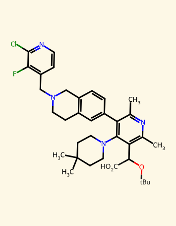 Cc1nc(C)c(C(OC(C)(C)C)C(=O)O)c(N2CCC(C)(C)CC2)c1-c1ccc2c(c1)CCN(Cc1ccnc(Cl)c1F)C2